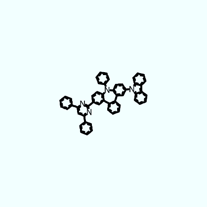 c1ccc(-c2cc(-c3ccccc3)nc(-c3ccc4c(c3)-c3ccccc3-c3cc(-n5c6ccccc6c6ccccc65)ccc3N4c3ccccc3)n2)cc1